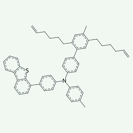 C=CCCCCc1cc(-c2ccc(N(c3ccc(C)cc3)c3ccc(-c4cccc5c4sc4ccccc45)cc3)cc2)c(CCCCC=C)cc1C